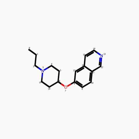 CCCN1CCC(Oc2ccc3cnccc3c2)CC1